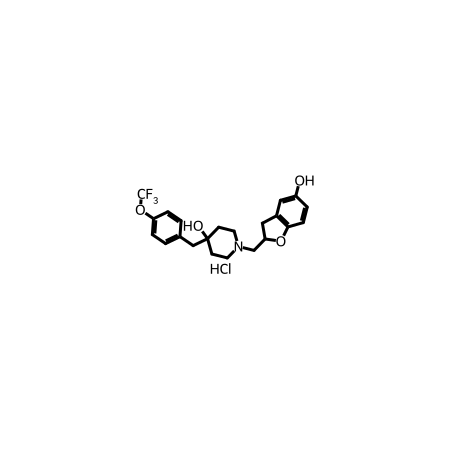 Cl.Oc1ccc2c(c1)CC(CN1CCC(O)(Cc3ccc(OC(F)(F)F)cc3)CC1)O2